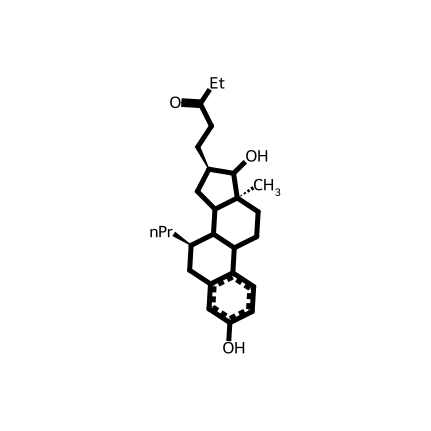 CCC[C@@H]1Cc2cc(O)ccc2C2CC[C@@]3(C)C(C[C@@H](CCC(=O)CC)C3O)C21